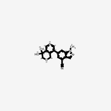 Cn1ncc2c(C#N)cc(-c3cncc4c3COCC4(C)O)cc21